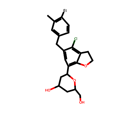 CCc1ccc(Cc2cc(C3CC(O)CC(CO)O3)c3c(c2Cl)CCO3)cc1C